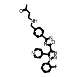 CC(=O)CCNCc1ccc(-c2noc(-c3nnn(-c4ccccc4F)c3-c3ccncc3)n2)cc1